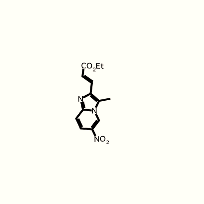 CCOC(=O)/C=C/c1nc2ccc([N+](=O)[O-])cn2c1C